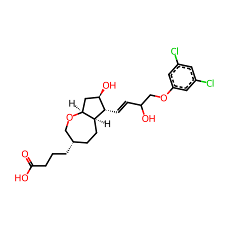 O=C(O)CCC[C@H]1CC[C@@H]2[C@@H](/C=C/C(O)COc3cc(Cl)cc(Cl)c3)[C@H](O)C[C@@H]2OC1